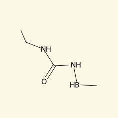 CBNC(=O)NCC